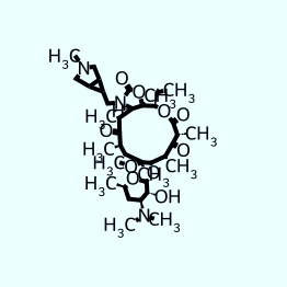 CC[C@H]1OC(=O)[C@H](C)C(=O)[C@H](C)[C@@H](O[C@@H]2O[C@H](C)C[C@H](N(C)C)[C@H]2O)[C@](C)(OC)C[C@@H](C)C(=O)[C@H](C)[C@H]2N(CC3C4CN(C)CC43)C(=O)O[C@]12C